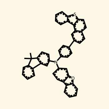 CC1(C)c2ccccc2-c2cc(N(c3ccc(-c4ccc5ccc6sc7ccccc7c6c5c4)cc3)c3ccc4c(c3)oc3ccccc34)ccc21